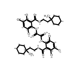 CC1(CCOC(=O)c2c(Cl)c(Cl)cc(Cl)c2OC(=O)C(=O)Oc2c(Cl)cc(Cl)c(Cl)c2C(=O)OCCC2(C)CCCCC2)CCCCC1